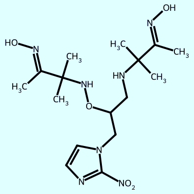 CC(=NO)C(C)(C)NCC(Cn1ccnc1[N+](=O)[O-])ONC(C)(C)C(C)=NO